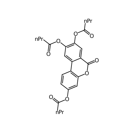 CCCC(=O)Oc1ccc2c(c1)oc(=O)c1cc(OC(=O)CCC)c(OC(=O)CCC)cc12